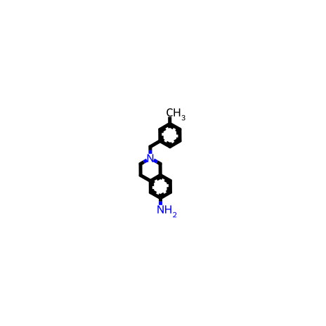 Cc1cccc(CN2CCc3cc(N)ccc3C2)c1